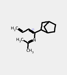 C=C/C=C(\N=C(C)C)C1CC2CCC1C2